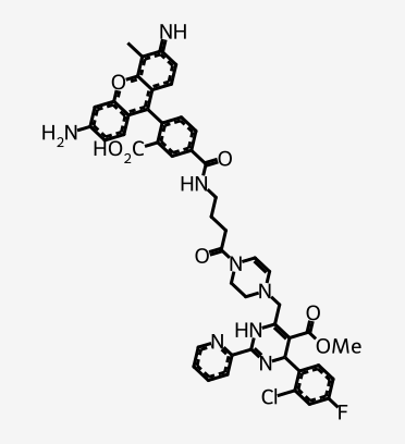 COC(=O)C1=C(CN2C=CN(C(=O)CCCNC(=O)c3ccc(-c4c5ccc(=N)c(C)c-5oc5cc(N)ccc45)c(C(=O)O)c3)CC2)NC(c2ccccn2)=NC1c1ccc(F)cc1Cl